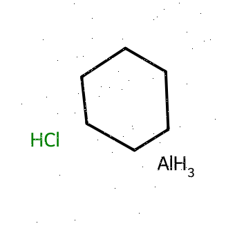 C1CCCCC1.Cl.[AlH3]